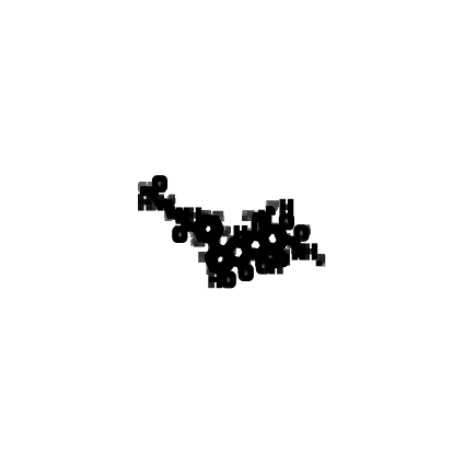 CC(=O)NCCNC(=O)c1cccc(-c2ccc(O)c3c2C[C@H]2C[C@H]4[C@H](N(C)C)C(O)=C(C(N)=O)C(=O)[C@@]4(O)C(O)=C2C3=O)c1